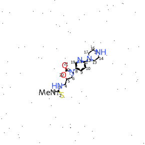 CNC(=S)NCC1CN(c2ccc(N3CCNCC3)nc2)C(=O)O1